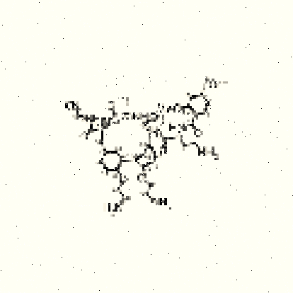 CCCCCCCCc1ccc(C(=O)N[C@@H](CCN)C(=O)N(C)[C@@H]2C(=O)N[C@@H](C)C(=O)N[C@H](C(=O)NCC#N)Cc3ccc(OCCN)c(c3)-c3cc2ccc3OCCN)c(OC)c1